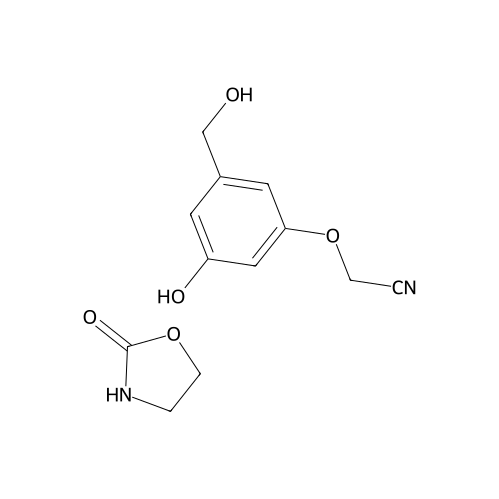 N#CCOc1cc(O)cc(CO)c1.O=C1NCCO1